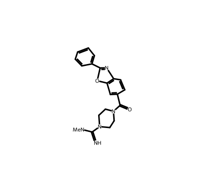 CNC(=N)N1CCN(C(=O)c2ccc3nc(-c4ccccc4)oc3c2)CC1